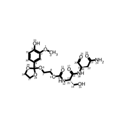 COc1cc(C2(OCCOC(=O)N[C@@H](CO)C(=O)N[C@@H](C=O)CC(N)=O)OCCO2)ccc1O